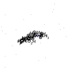 COC(=O)N[C@@H](CC/C=C/C(=O)N(C)C)C(=O)Nc1cccn(Cc2nc3cc(F)c(F)cc3n2C(=O)O)c1=O